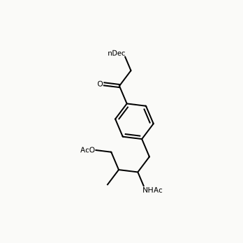 CCCCCCCCCCCC(=O)c1ccc(CC(NC(C)=O)C(C)COC(C)=O)cc1